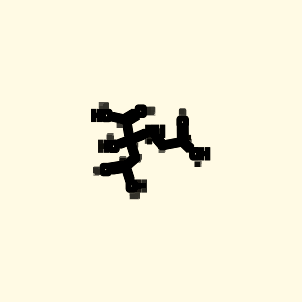 O=C(O)CNC(O)(CC(=O)O)C(=O)O